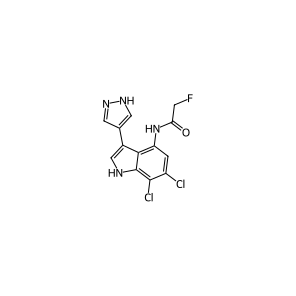 O=C(CF)Nc1cc(Cl)c(Cl)c2[nH]cc(-c3cn[nH]c3)c12